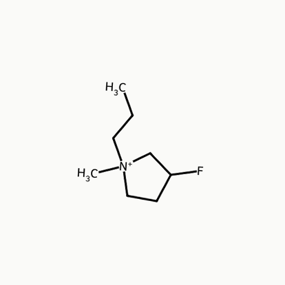 CCC[N+]1(C)CCC(F)C1